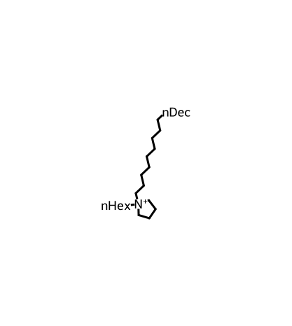 CCCCCCCCCCCCCCCCCCC[N+]1(CCCCCC)CCCC1